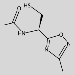 CC(=O)N[C@@H](CS)c1nc(C)no1